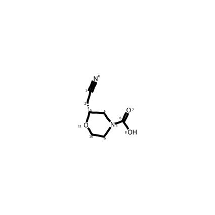 N#CC[C@@H]1CN(C(=O)O)CCO1